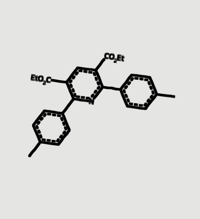 CCOC(=O)c1cc(C(=O)OCC)c(-c2ccc(C)cc2)nc1-c1ccc(C)cc1